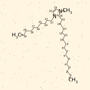 CCCCCCCCCCCCCCCCc1n(C)cc[n+]1CCCCCCCCCC